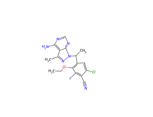 CCOc1c(C(C)n2nc(C)c3c(N)ncnc32)cc(Cl)c(C#N)c1I